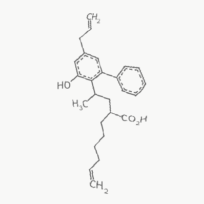 C=CCCCCC(CC(C)c1c(O)cc(CC=C)cc1-c1ccccc1)C(=O)O